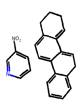 C1=c2c(ccc3c2=CCc2ccccc2-3)CCC1.O=[N+]([O-])c1cccnc1